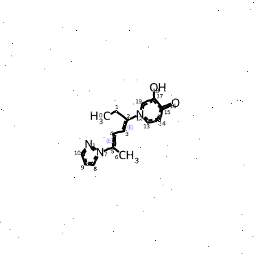 CC/C(=C\C=C(/C)n1cccn1)n1ccc(=O)c(O)c1